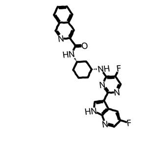 O=C(N[C@H]1CCC[C@@H](Nc2nc(-c3c[nH]c4ncc(F)cc34)ncc2F)C1)c1cc2ccccc2cn1